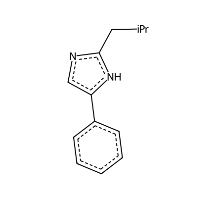 CC(C)Cc1ncc(-c2ccccc2)[nH]1